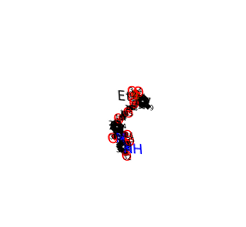 CCOS(=O)(=O)c1ccc(C)cc1OCCOCCOc1ccc2c(c1)C(=O)N(C1CCC(=O)NC1=O)C2=O